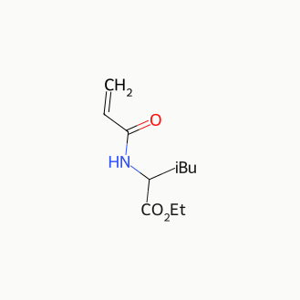 C=CC(=O)NC(C(=O)OCC)C(C)CC